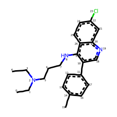 CCN(CC)CCCNc1c(-c2ccc(C)cc2)cnc2cc(Cl)ccc12